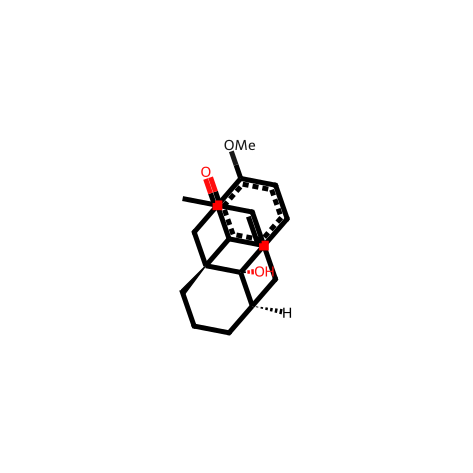 COc1ccc2c(c1C)[C@]13CCC[C@H](C2)[C@]1(O)C=CC(=O)C3